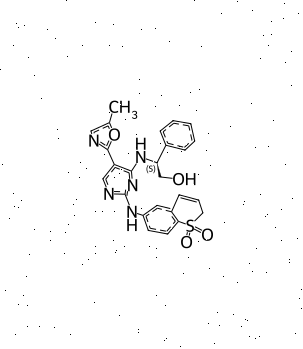 Cc1cnc(-c2cnc(Nc3ccc4c(c3)C=CCS4(=O)=O)nc2N[C@H](CO)c2ccccc2)o1